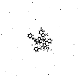 CC(=O)O[C@@H]1CN(C(=O)[C@@H](NC(=O)[C@H](C)N(C)C(=O)OCc2ccccc2)C2CCCCC2)[C@H]2[C@@H]1N(C(=O)OCc1ccccc1)C[C@H]2c1c[nH]c2cc(F)ccc12